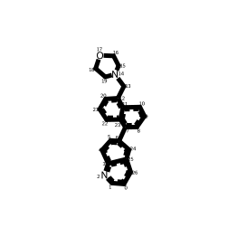 c1cnc2ccc(-c3cccc4c(CN5CCOCC5)cccc34)cc2c1